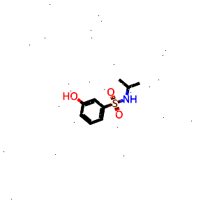 CC(C)NS(=O)(=O)c1cccc(O)c1